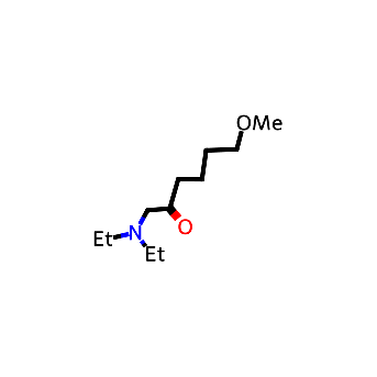 CCN(CC)CC(=O)CCCCOC